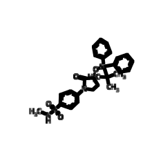 CNS(=O)(=O)c1ccc(N2CC[C@@H](O[Si](c3ccccc3)(c3ccccc3)C(C)(C)C)C2=O)cc1